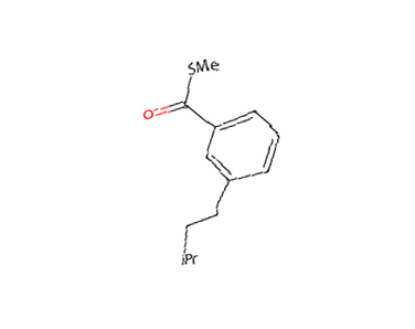 CSC(=O)c1cccc(CCC(C)C)c1